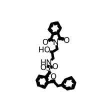 O=C1c2ccccc2C(=O)N1CC(O)CNS(=O)(=O)c1oc(Cc2ccccc2)c2ccccc12